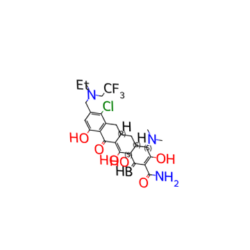 B=C1C(C(N)=O)=C(O)[C@@H](N(C)C)[C@@H]2C[C@@H]3Cc4c(Cl)c(CN(CC)CC(F)(F)F)cc(O)c4C(=O)C3=C(O)[C@]12O